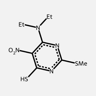 CCN(CC)c1nc(SC)nc(S)c1[N+](=O)[O-]